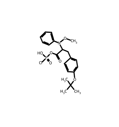 CON(c1ccccc1)C(Cc1ccc(OC(C)(C)C)cc1)C(=O)OP(=O)(O)Cl